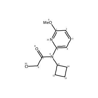 COc1cccc(N(C(=O)CCl)C2CCC2)n1